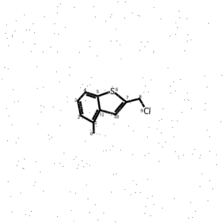 Cc1cccc2sc(CCl)cc12